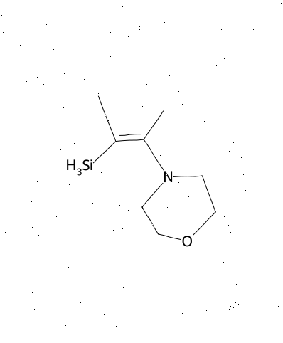 CC([SiH3])=C(C)N1CCOCC1